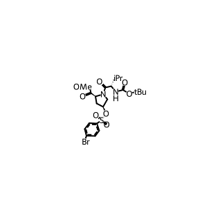 COC(=O)[C@@H]1C[C@H](OS(=O)(=O)c2ccc(Br)cc2)CN1C(=O)[C@@H](NC(=O)OC(C)(C)C)C(C)C